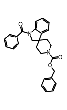 O=C(OCc1ccccc1)N1CCC2(CC1)CN(C(=O)c1ccccc1)c1ccccc12